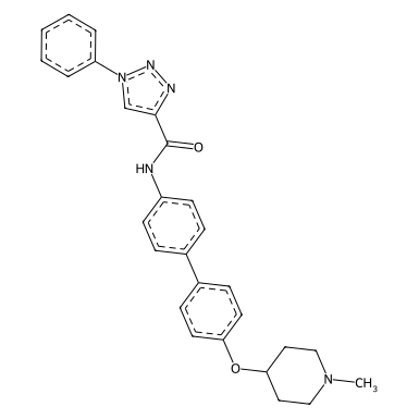 CN1CCC(Oc2ccc(-c3ccc(NC(=O)c4cn(-c5ccccc5)nn4)cc3)cc2)CC1